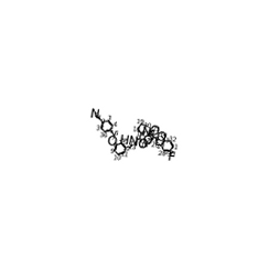 N#Cc1ccc(COc2cccc(CNC(=O)C3CCCN3S(=O)(=O)c3cc4cc(F)ccc4o3)c2)cc1